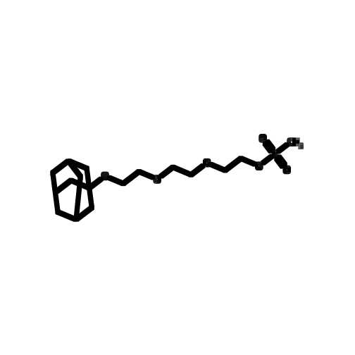 CS(=O)(=O)OCCOCCOCCOC12CC3CC(CC(C3)C1)C2